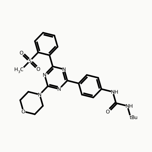 CC(C)(C)NC(=O)Nc1ccc(-c2nc(-c3ccccc3S(C)(=O)=O)nc(N3CCOCC3)n2)cc1